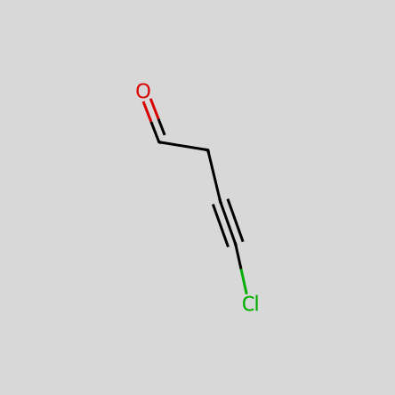 O=CCC#CCl